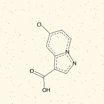 O=C(O)c1cnn2ccc(Cl)cc12